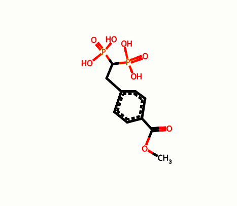 COC(=O)c1ccc(CC(P(=O)(O)O)P(=O)(O)O)cc1